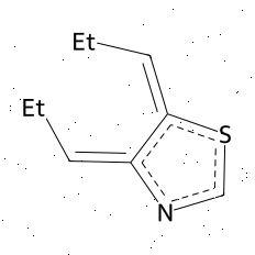 CC/C=c1/ncs/c1=C/CC